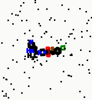 CC(c1cc2cnccc2[nH]1)N1CCN(S(=O)(=O)c2cc3ccc(Cl)cc3s2)CC1